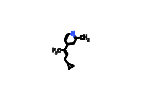 Cc1cc(/C(=C/CC2CC2)C(F)(F)F)ccn1